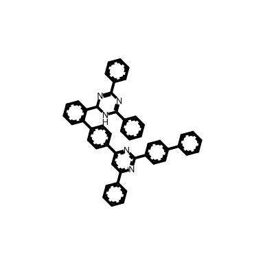 c1ccc(C2=NC(c3ccccc3-c3ccc(-c4cc(-c5ccccc5)nc(-c5ccc(-c6ccccc6)cc5)n4)cc3)NC(c3ccccc3)=N2)cc1